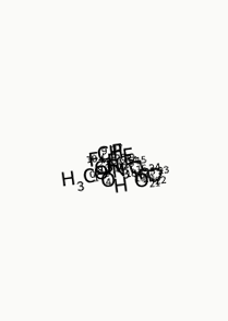 CCOC(=O)[C@H](CC(C)(C)F)NC(c1ccc2c(c1)oc1ccccc12)C(F)(F)F